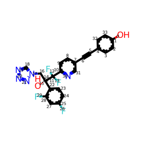 Oc1ccc(C#Cc2ccc(C(F)(F)[C@](O)(Cn3cnnn3)c3ccc(F)cc3F)nc2)cc1